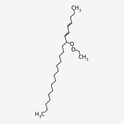 CCCC=CC=CC(CCCCCCCCCCCCCCC)OOCC